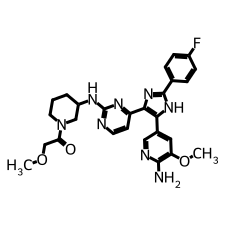 COCC(=O)N1CCCC(Nc2nccc(-c3nc(-c4ccc(F)cc4)[nH]c3-c3cnc(N)c(OC)c3)n2)C1